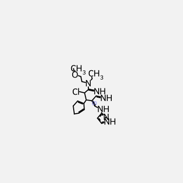 CCN(CCOC)C(=N)C(Cl)C(C1=CCCC=C1)/C(C=N)=C/Nc1cc[nH]n1